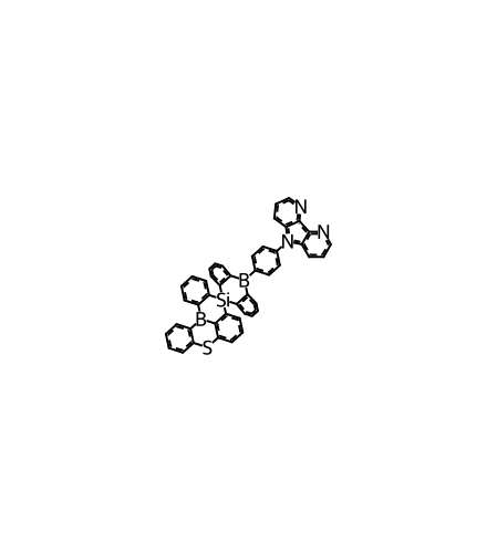 c1ccc2c(c1)Sc1cccc3c1B2c1ccccc1[Si]31c2ccccc2B(c2ccc(-n3c4cccnc4c4ncccc43)cc2)c2ccccc21